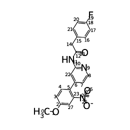 COc1ccc(-c2ccnc(NC(=O)Cc3ccc(F)cc3)c2)c([N+](=O)[O-])c1